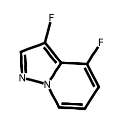 Fc1cccn2ncc(F)c12